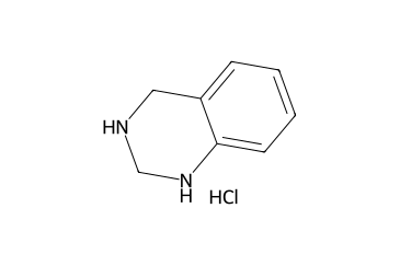 Cl.c1ccc2c(c1)CNCN2